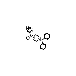 O=C(c1cncs1)N1CCN(C(c2ccccc2)c2ccccc2)CC1